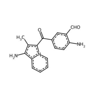 Cc1c(N)c2ccccn2c1C(=O)c1ccc(N)c(C=O)c1